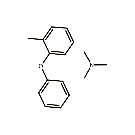 CN(C)C.Cc1ccccc1Oc1ccccc1